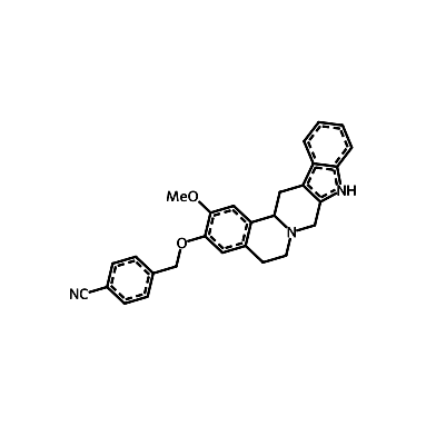 COc1cc2c(cc1OCc1ccc(C#N)cc1)CCN1Cc3[nH]c4ccccc4c3CC21